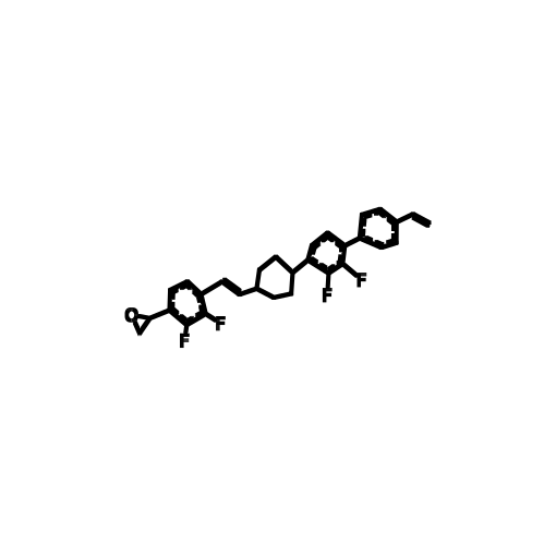 C=Cc1ccc(-c2ccc(C3CCC(/C=C/c4ccc(C5CO5)c(F)c4F)CC3)c(F)c2F)cc1